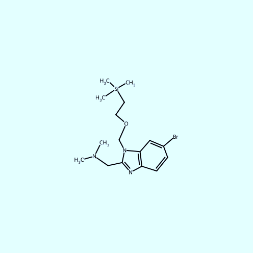 CN(C)Cc1nc2ccc(Br)cc2n1COCC[Si](C)(C)C